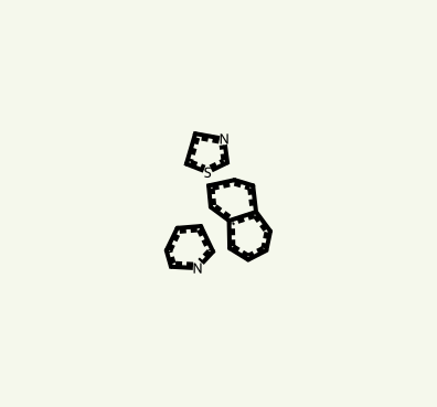 c1ccc2ccccc2c1.c1ccncc1.c1cscn1